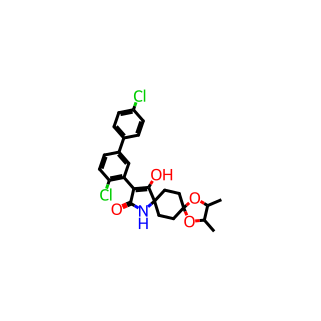 CC1OC2(CCC3(CC2)NC(=O)C(c2cc(-c4ccc(Cl)cc4)ccc2Cl)=C3O)OC1C